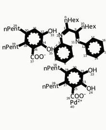 CCCCCCC(=Nc1ccccc1)C(CCCCCC)=Nc1ccccc1.CCCCCc1cc(O)c(O)c(C(=O)[O-])c1CCCCC.CCCCCc1cc(O)c(O)c(C(=O)[O-])c1CCCCC.[Pd+2]